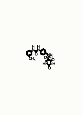 Cc1cccc(NC(=O)Nc2ccc(NS(=O)(=O)c3c[nH]c(=O)[nH]c3=O)cc2)c1